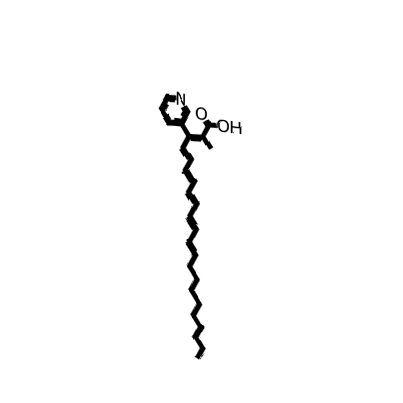 CCCCCCCCCC=CC=CC=CC=CC=CC(=C(C)C(=O)O)c1cccnc1